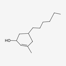 CCCCCCC1CC(C)=CC(O)C1